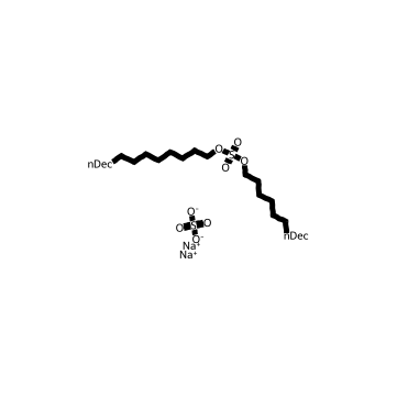 CCCCCCCCCCCCCCCCCCOS(=O)(=O)OCCCCCCCCCCCCCCCC.O=S(=O)([O-])[O-].[Na+].[Na+]